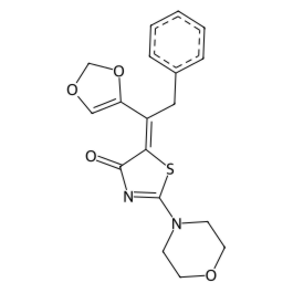 O=C1N=C(N2CCOCC2)SC1=C(Cc1ccccc1)C1=COCO1